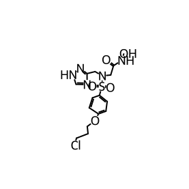 O=C(CN(Cc1nc[nH]n1)S(=O)(=O)c1ccc(OCCCCl)cc1)NO